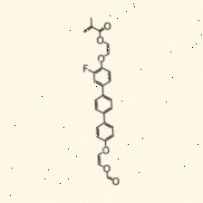 C=C(C)C(=O)O/C=C\Oc1ccc(-c2ccc(-c3ccc(O/C=C\OC=O)cc3)cc2)cc1F